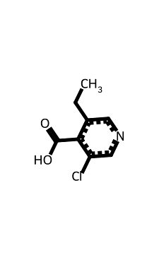 CCc1cncc(Cl)c1C(=O)O